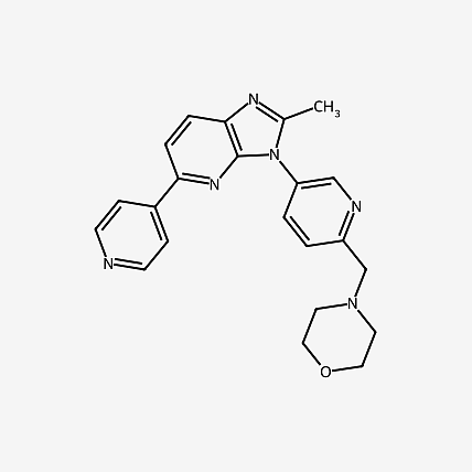 Cc1nc2ccc(-c3ccncc3)nc2n1-c1ccc(CN2CCOCC2)nc1